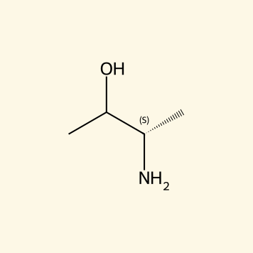 CC(O)[C@H](C)N